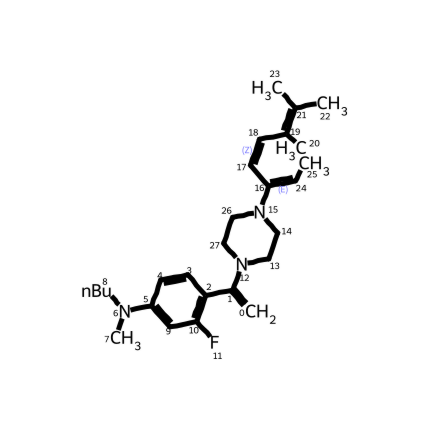 C=C(c1ccc(N(C)CCCC)cc1F)N1CCN(C(/C=C\C(C)=C(C)C)=C/C)CC1